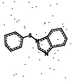 c1ccc(Sn2cnc3ccccc32)cc1